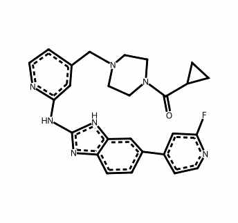 O=C(C1CC1)N1CCN(Cc2ccnc(Nc3nc4ccc(-c5ccnc(F)c5)cc4[nH]3)c2)CC1